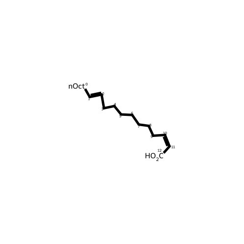 CCCCCCCCC=CCCCCCCC/C=C\C(=O)O